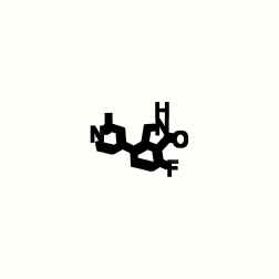 Cc1cc(-c2ccc(F)c3c2CNC3=O)ccn1